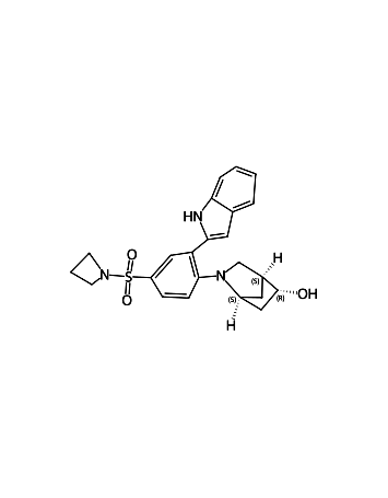 O=S(=O)(c1ccc(N2C[C@@H]3C[C@H]2C[C@H]3O)c(-c2cc3ccccc3[nH]2)c1)N1CCC1